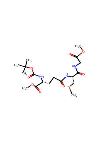 COC(=O)CNC(=O)[C@H](CSC)NC(=O)CC[C@@H](NC(=O)OC(C)(C)C)C(=O)OC